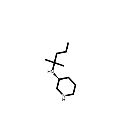 CCCC(C)(C)N[C@H]1CCCNC1